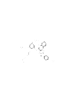 COc1ccc(S(=O)(=O)N(C)c2nc3ccccc3nc2Nc2cc(OC)cc(OC)c2OCCOCCO)cc1